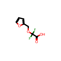 O=C(O)C(F)(F)OCc1ccco1